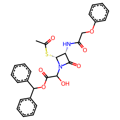 CC(=O)S[C@@H]1[C@H](NC(=O)COc2ccccc2)C(=O)N1C(O)C(=O)OC(c1ccccc1)c1ccccc1